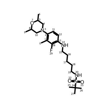 Cc1c(N2CC(C)OC(C)C2)ccc(NCCCCCNS(=O)(=O)C(C)(C)C)c1F